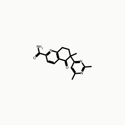 Cc1cc(C2(C)CCc3nc(C(N)=O)ccc3C2=O)nc(C)n1